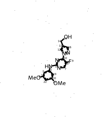 COc1cc(Nc2ncc(F)c(-n3cc(CO)cn3)n2)cc(OC)c1